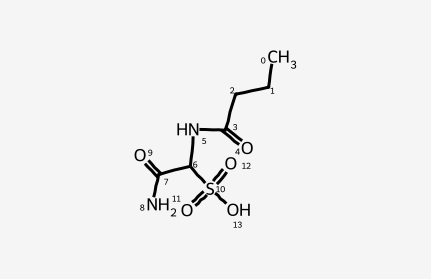 CCCC(=O)NC(C(N)=O)S(=O)(=O)O